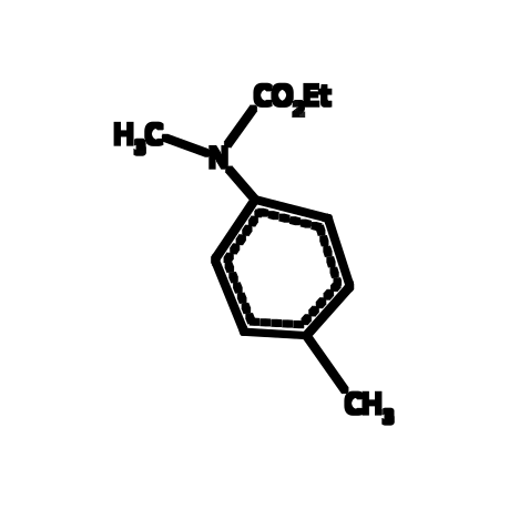 CCOC(=O)N(C)c1ccc(C)cc1